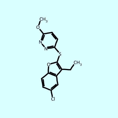 CCc1c(Sc2ccc(OC)nn2)oc2ccc(Cl)cc12